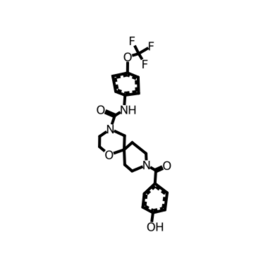 O=C(Nc1ccc(OC(F)(F)F)cc1)N1CCOC2(CCN(C(=O)c3ccc(O)cc3)CC2)C1